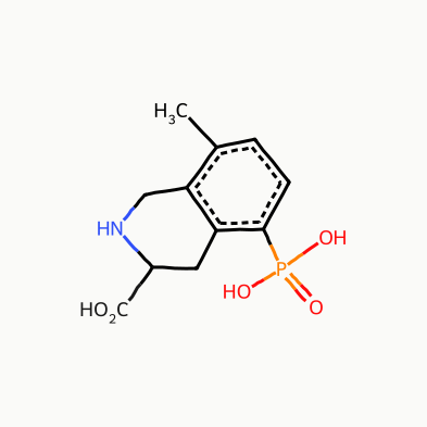 Cc1ccc(P(=O)(O)O)c2c1CNC(C(=O)O)C2